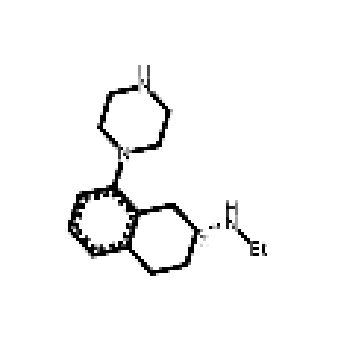 CCN[C@@H]1CCc2cccc(N3CCNCC3)c2C1